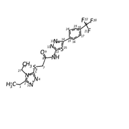 CCc1nnc(SCC(=O)Nc2nnc(-c3ccc(C(F)(F)F)cc3)s2)n1CC